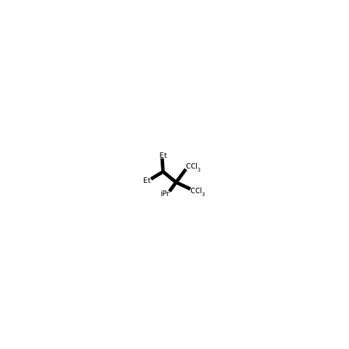 CCC(CC)C(C(C)C)(C(Cl)(Cl)Cl)C(Cl)(Cl)Cl